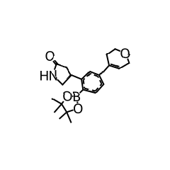 CC1(C)OB(c2ccc(C3=CCOCC3)cc2C2CNC(=O)C2)OC1(C)C